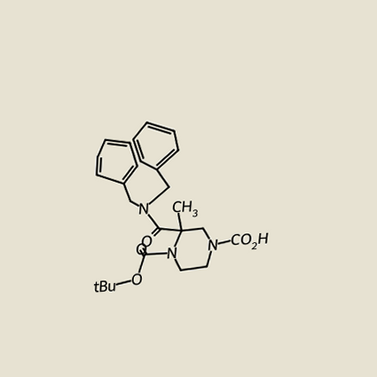 CC(C)(C)OC(=O)N1CCN(C(=O)O)CC1(C)C(=O)N(Cc1ccccc1)Cc1ccccc1